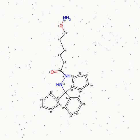 NOCCCCCC(=O)NNC(c1ccccc1)(c1ccccc1)c1ccccc1